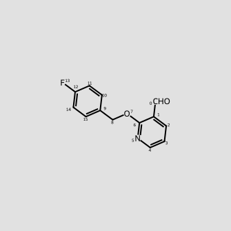 O=Cc1cccnc1OCc1ccc(F)cc1